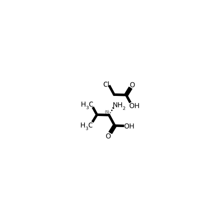 CC(C)[C@H](N)C(=O)O.O=C(O)CCl